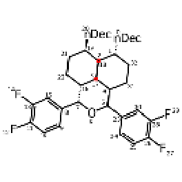 CCCCCCCCCC[C@H]1CC[C@H](C(OC(c2ccc(F)c(F)c2)[C@H]2CC[C@H](CCCCCCCCCC)CC2)c2ccc(F)c(F)c2)CC1